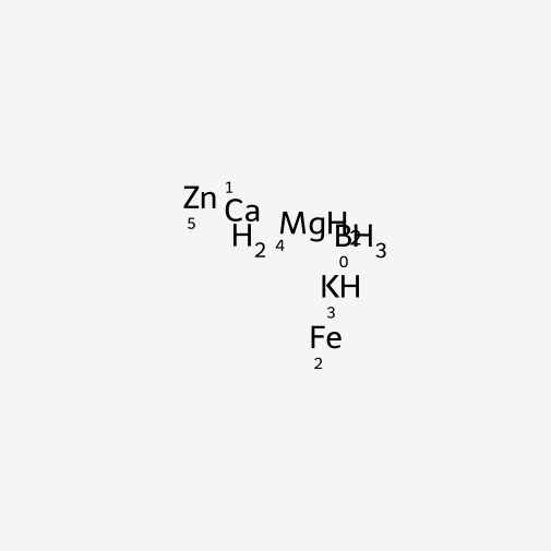 B.[CaH2].[Fe].[KH].[MgH2].[Zn]